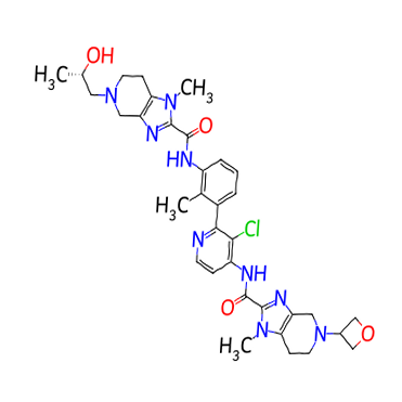 Cc1c(NC(=O)c2nc3c(n2C)CCN(C[C@H](C)O)C3)cccc1-c1nccc(NC(=O)c2nc3c(n2C)CCN(C2COC2)C3)c1Cl